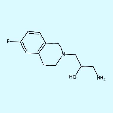 NCC(O)CN1CCc2cc(F)ccc2C1